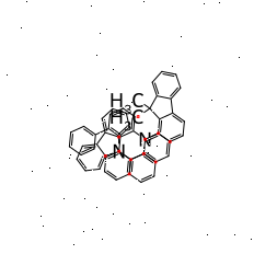 CC1(C)c2ccccc2-c2cccc(N(c3ccccc3-n3c4ccccc4c4ccccc43)c3cccc(-c4ccccc4)c3-c3ccccc3-c3ccccc3)c21